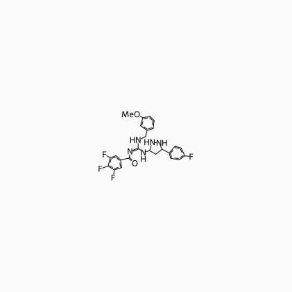 COc1cccc(CN/C(=N/C(=O)c2cc(F)c(F)c(F)c2)NC2CC(c3ccc(F)cc3)NN2)c1